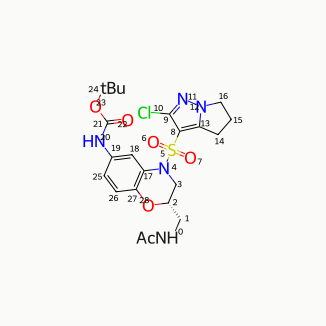 CC(=O)NC[C@H]1CN(S(=O)(=O)c2c(Cl)nn3c2CCC3)c2cc(NC(=O)OC(C)(C)C)ccc2O1